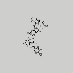 CCn1cncc1Cn1c(CCC(=O)O)cnc1CN1CCC(c2cccc3c2OC[C@@H](c2ccc(Cl)cc2)O3)CC1